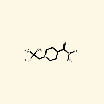 CN(C)C(=O)C1CCN(CC(C)(C)C)CC1